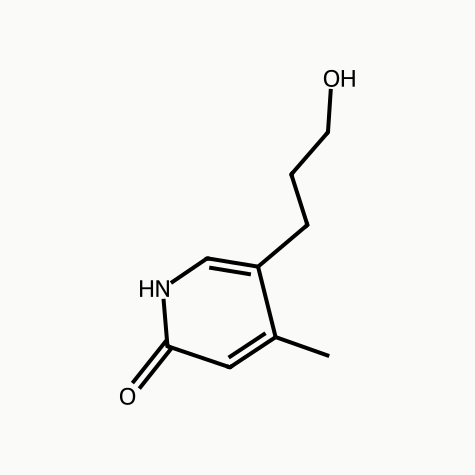 Cc1cc(=O)[nH]cc1CCCO